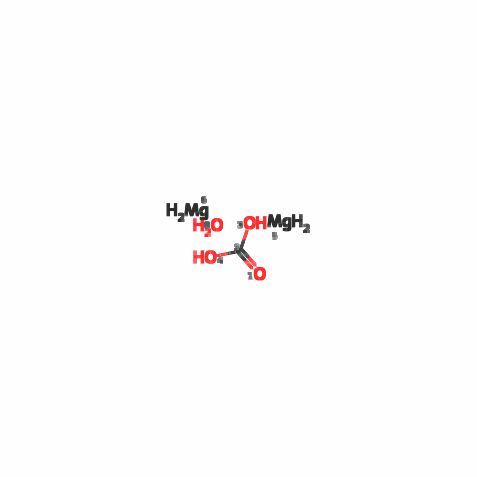 O.O=C(O)O.[MgH2].[MgH2]